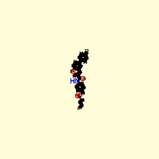 CCCC[PH](=O)Cc1ccc(NC(=O)C2=Cc3cc(-c4ccc(C)cc4)ccc3OC2)cc1